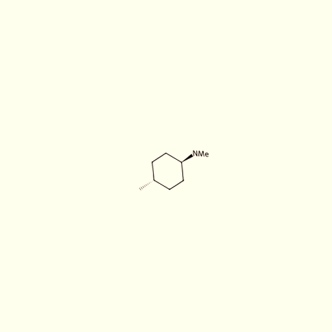 [CH2]N[C@H]1CC[C@H](C)CC1